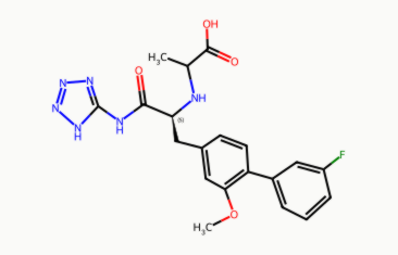 COc1cc(C[C@H](NC(C)C(=O)O)C(=O)Nc2nnn[nH]2)ccc1-c1cccc(F)c1